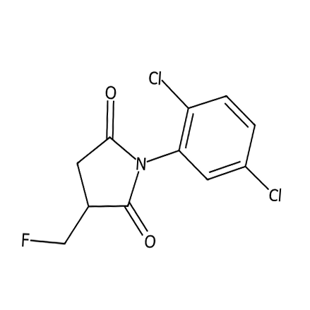 O=C1CC(CF)C(=O)N1c1cc(Cl)ccc1Cl